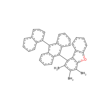 Bc1c(B)c(-c2c3ccccc3c(-c3cccc4ccccc34)c3ccccc23)c2c(oc3ccccc32)c1B